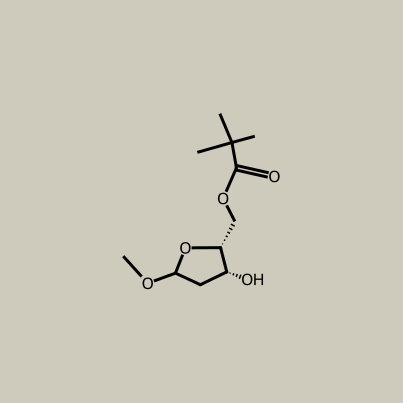 COC1C[C@@H](O)[C@@H](COC(=O)C(C)(C)C)O1